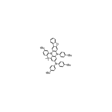 CC(C)(C)c1ccc(N(c2ccc(C(C)(C)C)cc2)c2cc3c4c(c2)C(C)(C)c2ccc(C(C)(C)C)cc2B4c2cc4c(cc2N3c2ccc(C(C)(C)C)cc2)oc2ccccc24)cc1